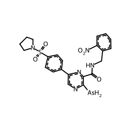 O=C(NCc1ccccc1[N+](=O)[O-])c1nc(-c2ccc(S(=O)(=O)N3CCCC3)cc2)cnc1[AsH2]